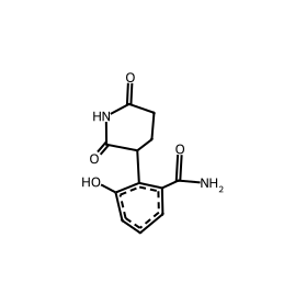 NC(=O)c1cccc(O)c1C1CCC(=O)NC1=O